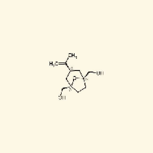 C=C(C)[C@H]1C[C@]2(CO)CC[C@](CO)(C1)O2